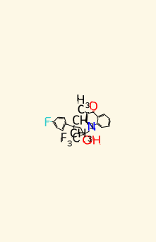 Cc1cn(CC(O)(CC(C)(C)c2ccc(F)cc2)C(F)(F)F)c2ccccc2c1=O